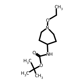 CCON1CCC(NC(=O)OC(C)(C)C)CC1